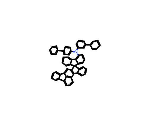 c1ccc(-c2ccc(N(c3cccc(-c4ccccc4)c3)c3cccc4c3-c3ccccc3C43c4ccccc4-c4c3cc3c5c(cccc45)-c4ccccc4-3)cc2)cc1